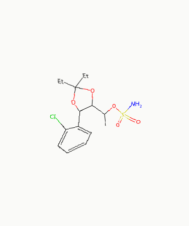 CCC1(CC)OC(c2ccccc2Cl)C(C(C)OS(N)(=O)=O)O1